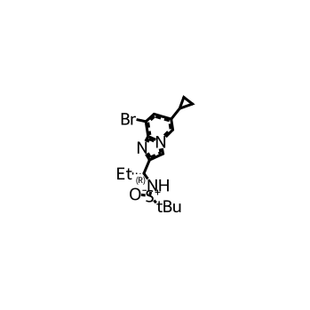 CC[C@@H](N[S+]([O-])C(C)(C)C)c1cn2cc(C3CC3)cc(Br)c2n1